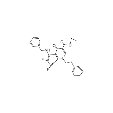 CCOC(=O)c1cn(CCC2=CCCC=C2)c2cc(F)c(F)c(NCc3ccccc3)c2c1=O